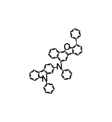 c1ccc(-c2cccc3c2oc2c4ccccc4c(N(c4ccccc4)c4ccc5c6ccccc6n(-c6ccccc6)c5c4)cc32)cc1